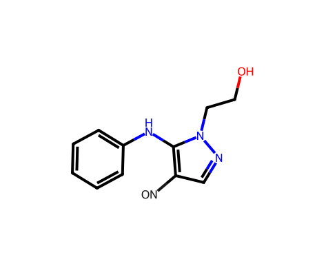 O=Nc1cnn(CCO)c1Nc1ccccc1